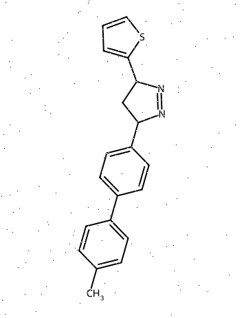 Cc1ccc(-c2ccc(C3CC(c4cccs4)N=N3)cc2)cc1